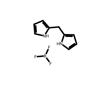 FB(F)F.c1c[nH]c(Cc2ccc[nH]2)c1